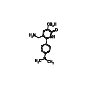 CN(C)c1ccc(-c2[nH]c(=O)c(C(=O)O)cc2CN)cc1